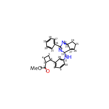 COC(=O)C1CCC1c1cccc(NC2N=C(c3ccccc3)N=C3CCC=C32)c1